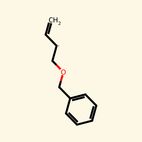 C=C[CH]COCc1ccccc1